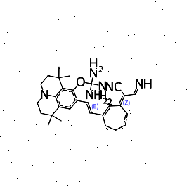 CC1(C)CCN2CCC(C)(C)c3c(OC(N)(N)N)c(/C=C/C4=CC(=C(\C#N)C=N)/C=CCC4)cc1c32